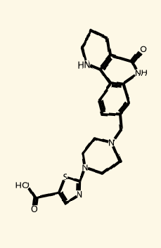 O=C(O)c1cnc(N2CCN(Cc3ccc4c5c(c(=O)[nH]c4c3)CCCN5)CC2)s1